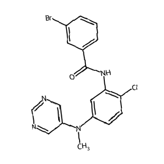 CN(c1cncnc1)c1ccc(Cl)c(NC(=O)c2cccc(Br)c2)c1